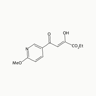 CCOC(=O)C(O)=CC(=O)c1ccc(OC)nc1